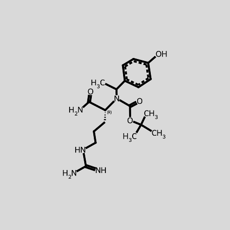 CC(c1ccc(O)cc1)N(C(=O)OC(C)(C)C)[C@H](CCCNC(=N)N)C(N)=O